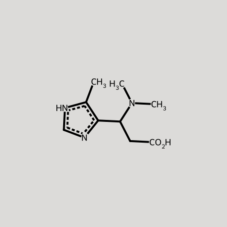 Cc1[nH]cnc1C(CC(=O)O)N(C)C